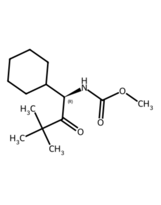 COC(=O)N[C@@H](C(=O)C(C)(C)C)C1CCCCC1